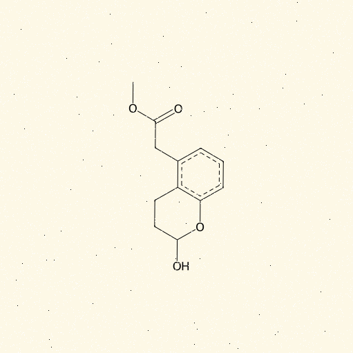 COC(=O)Cc1cccc2c1CCC(O)O2